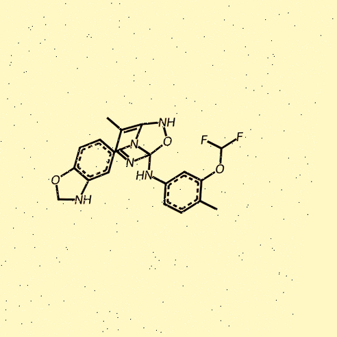 CC1=C2NOC(Nc3ccc(C)c(OC(F)F)c3)(N=C1)N2c1ccc2c(c1)NCO2